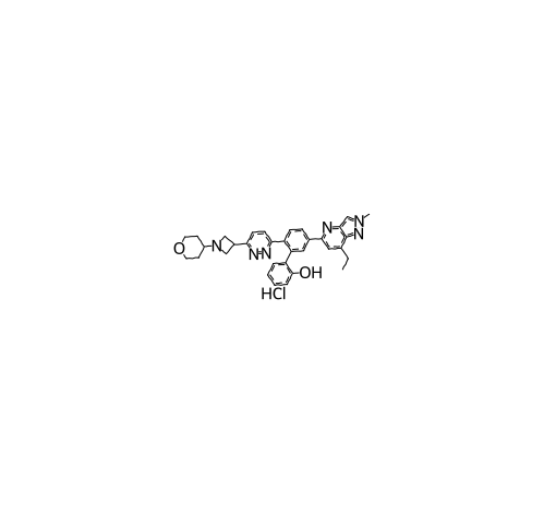 CCc1cc(-c2ccc(-c3ccc(C4CN(C5CCOCC5)C4)nn3)c(-c3ccccc3O)c2)nc2cn(C)nc12.Cl